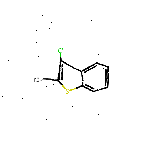 CCCCc1sc2ccccc2c1Cl